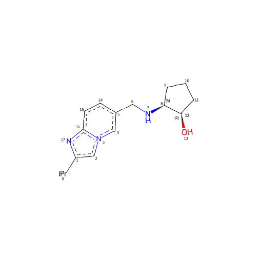 CC(C)c1cn2cc(CN[C@H]3CCC[C@H]3O)ccc2n1